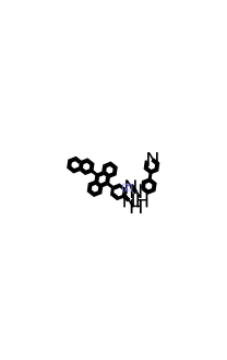 N=C1C=CC(c2c3ccccc3c(-c3ccc4ccccc4c3)c3ccccc23)=C/C1=N/Nc1cccc(-c2ccncc2)c1